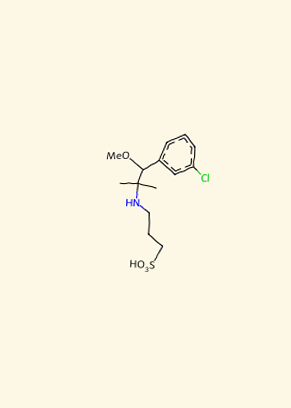 COC(c1cccc(Cl)c1)C(C)(C)NCCCS(=O)(=O)O